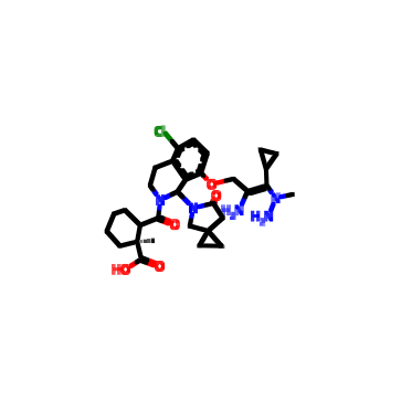 CN(N)/C(=C(\N)COc1ccc(Cl)c2c1C(N1CC3(CC3)CC1=O)N(C(=O)C1CCCC[C@]1(C)C(=O)O)CC2)C1CC1